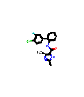 Cc1nc(C(F)(F)F)c(C(=O)Nc2ccccc2-c2ccc(Cl)c(F)c2)[nH]1